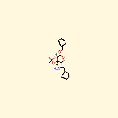 CC1(C)O[C@@H]2[C@@H](C(N)Cc3ccccc3)COC(OCc3ccccc3)[C@H]2O1